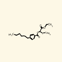 CCCCCCc1ccc(C(=O)OC(SC)C(=O)OCC)cc1